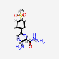 CC(C)S(=O)(=O)c1ccc(-c2cnc(N)c(C(=O)NN)n2)cc1